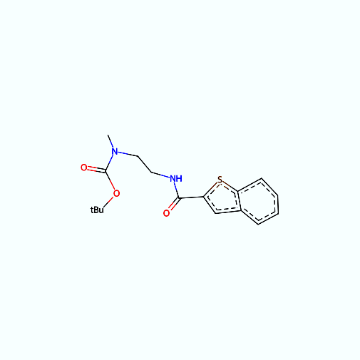 CN(CCNC(=O)c1cc2ccccc2s1)C(=O)OC(C)(C)C